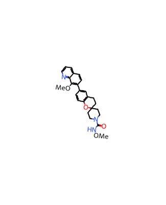 CONC(=O)N1CCC2(CCc3cc(-c4ccc5cccnc5c4OC)ccc3O2)CC1